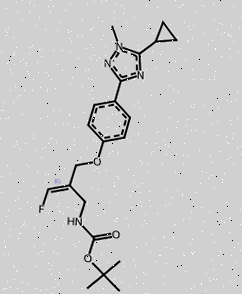 Cn1nc(-c2ccc(OC/C(=C/F)CNC(=O)OC(C)(C)C)cc2)nc1C1CC1